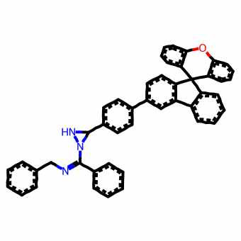 c1ccc(C/N=C(/c2ccccc2)N2NC2c2ccc(-c3ccc4c(c3)-c3ccccc3C43c4ccccc4Oc4ccccc43)cc2)cc1